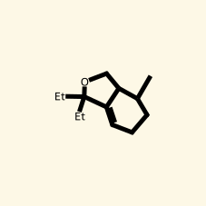 CCC1(CC)OCC2C1=CCCC2C